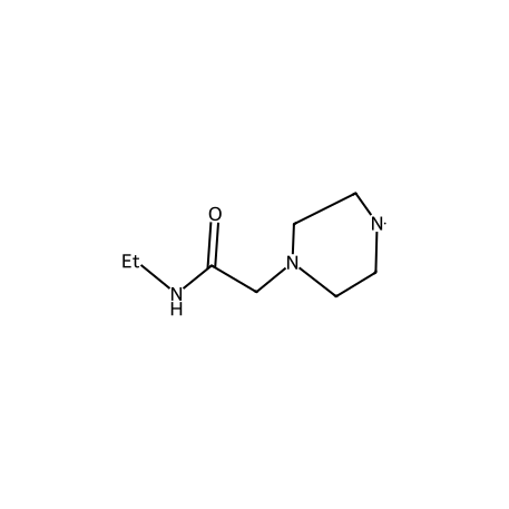 CCNC(=O)CN1CC[N]CC1